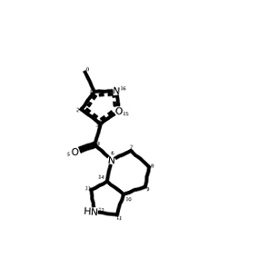 Cc1cc(C(=O)N2CCCC3CNCC32)on1